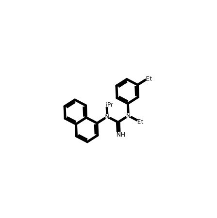 CCc1cccc(N(CC)C(=N)N(c2cccc3ccccc23)C(C)C)c1